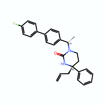 C=CC[C@]1(c2ccccc2)CCN([C@@H](C)c2ccc(-c3ccc(F)cc3)cc2)C(=O)N1